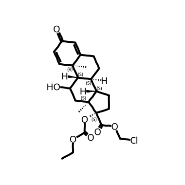 CCOC(=O)O[C@@]1(C(=O)OCCl)CC[C@H]2[C@@H]3CCC4=CC(=O)C=C[C@]4(C)[C@H]3C(O)C[C@@]21C